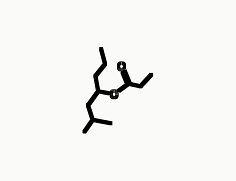 CCCC(CC(C)C)OC(=O)CC